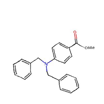 COC(=O)c1ccc(N(Cc2ccccc2)Cc2ccccc2)cc1